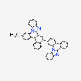 Cc1ccc2c3c4ccccc4c(-c4ccc5c6ccccc6c6nc7ccccc7n6c5c4)cc3c3nc4ccccc4n3c2c1